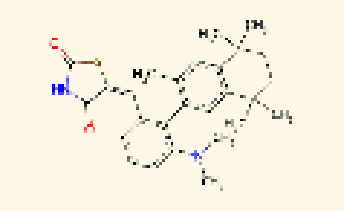 Cc1cc2c(cc1-c1c(/C=C3/SC(=O)NC3=O)cccc1N(C)C)C(C)(C)CCC2(C)C